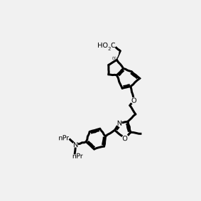 CCCN(CCC)c1ccc(-c2nc(CCOc3ccc4c(c3)CC[C@H]4CC(=O)O)c(C)o2)cc1